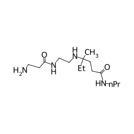 CCCNC(=O)CCC(C)(CC)NCCNC(=O)CCN